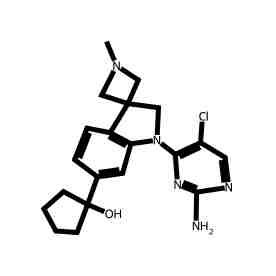 CN1CC2(C1)CN(c1nc(N)ncc1Cl)c1cc(C3(O)CCCC3)ccc12